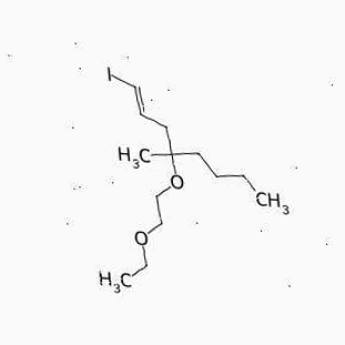 CCCCC(C)(C/C=C/I)OCCOCC